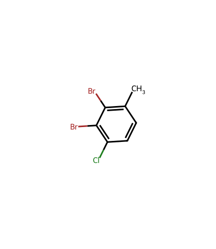 Cc1ccc(Cl)c(Br)c1Br